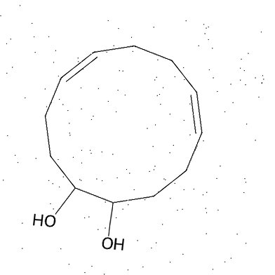 OC1CCC=CCCC=CCCC1O